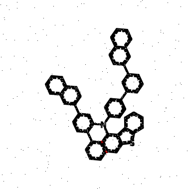 c1ccc(-c2ccc(-c3ccc4ccccc4c3)cc2N(c2ccc(-c3cccc(-c4ccc5ccccc5c4)c3)cc2)c2cccc3sc4ccccc4c23)cc1